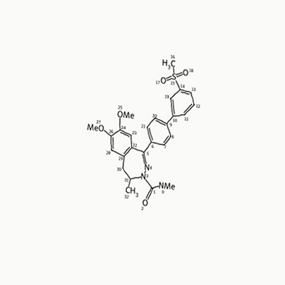 CNC(=O)N1N=C(c2ccc(-c3cccc(S(C)(=O)=O)c3)cc2)c2cc(OC)c(OC)cc2CC1C